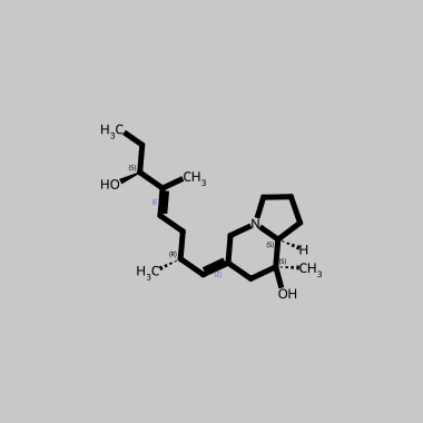 CC[C@H](O)/C(C)=C/C[C@@H](C)/C=C1\CN2CCC[C@H]2[C@@](C)(O)C1